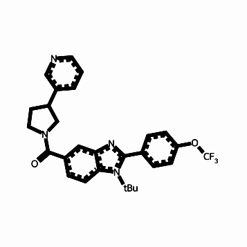 CC(C)(C)n1c(-c2ccc(OC(F)(F)F)cc2)nc2cc(C(=O)N3CCC(c4cccnc4)C3)ccc21